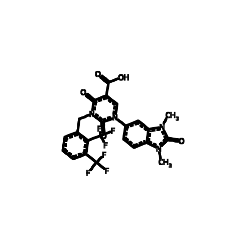 Cn1c(=O)n(C)c2cc(-n3cc(C(=O)O)c(=O)n(Cc4cccc(C(F)(F)F)c4C(F)(F)F)c3=O)ccc21